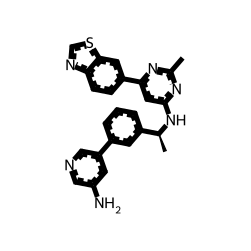 Cc1nc(N[C@@H](C)c2cccc(-c3cncc(N)c3)c2)cc(-c2ccc3ncsc3c2)n1